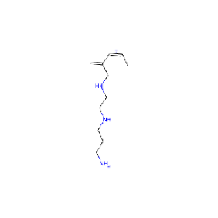 C=C(/C=C\C)CNCCNCCCN